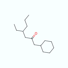 CCCC(CC)CC(=O)C[C]1CCCCC1